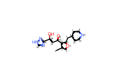 Cc1coc(Cc2ccncc2)c1C(=O)C=C(O)c1nc[nH]n1